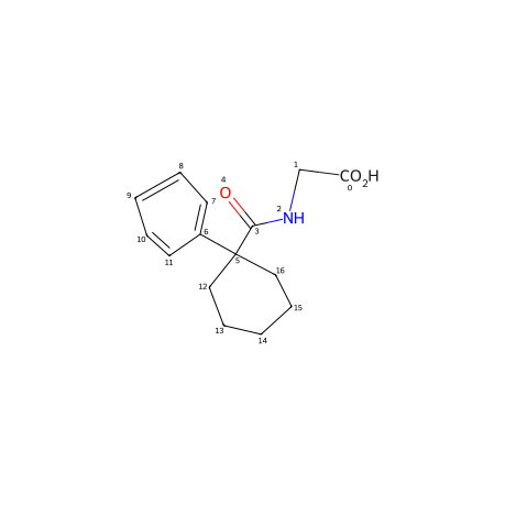 O=C(O)CNC(=O)C1(c2ccccc2)CCCCC1